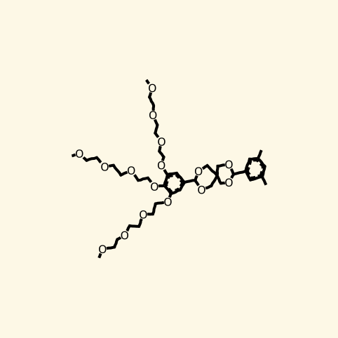 COCCOCCOCCOc1cc(C2OCC3(COC(c4cc(C)cc(C)c4)OC3)CO2)cc(OCCOCCOCCOC)c1OCCOCCOCCOC